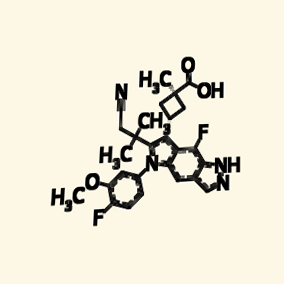 COc1cc(-n2c(C(C)(C)CC#N)c([C@H]3C[C@](C)(C(=O)O)C3)c3c(F)c4[nH]ncc4cc32)ccc1F